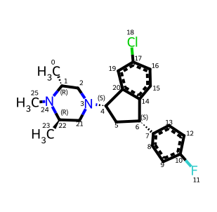 C[C@@H]1CN([C@H]2C[C@@H](c3ccc(F)cc3)c3ccc(Cl)cc32)C[C@@H](C)N1C